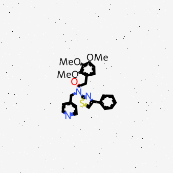 COc1ccc(CC(=O)N(Cc2ccncc2)c2nc(-c3ccccc3)cs2)c(OC)c1OC